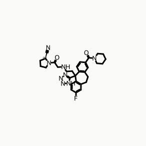 N#C[C@@H]1CCCN1C(=O)CNCCC1(c2nnn[nH]2)c2ccc(F)cc2CCc2cc(C(=O)N3CCCCC3)ccc21